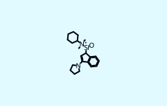 C[N+](C)(C1CCCCC1)[Si](=O)C1C=C(N2CCCC2)c2ccccc21